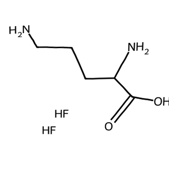 F.F.NCCCC(N)C(=O)O